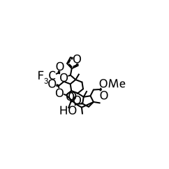 COC(=O)CC1C2(C)CC34OC5(C)OC67C(CC(=O)OC6C3(O)C2C)C(C)(C(OC(=O)C(F)(F)F)c2ccoc2)CCC7(O5)C14C